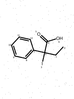 CCC(I)(C(=O)O)c1ccccc1